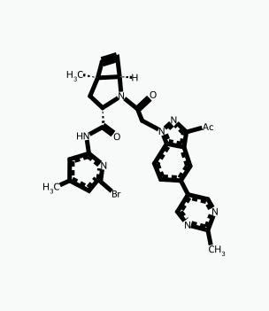 CC(=O)c1nn(CC(=O)N2[C@H](C(=O)Nc3cc(C)cc(Br)n3)C[C@@]3(C)C#C[C@@H]23)c2ccc(-c3cnc(C)nc3)cc12